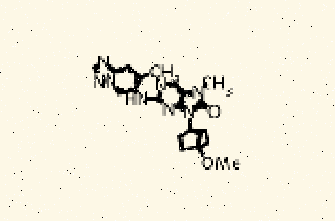 COC12CCC(n3c(=O)n(C)c4cnc(Nc5cn6ncnc6cc5C)nc43)(CC1)C2